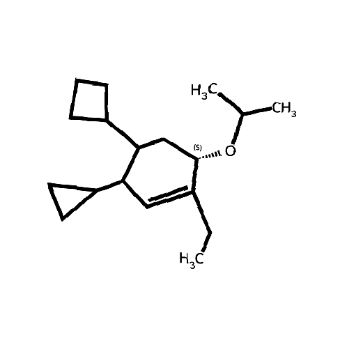 CCC1=CC(C2CC2)C(C2CCC2)C[C@@H]1OC(C)C